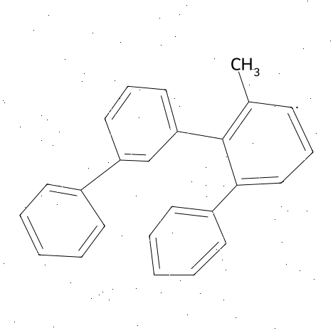 Cc1[c]ccc(-c2ccccc2)c1-c1cccc(-c2ccccc2)c1